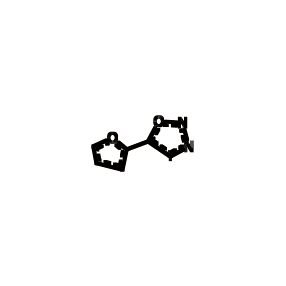 [c]1nnoc1-c1ccco1